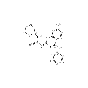 N#Cc1ccc2c(c1)CC(NC(=O)OC1CCCCC1)CN2Cc1ccccc1